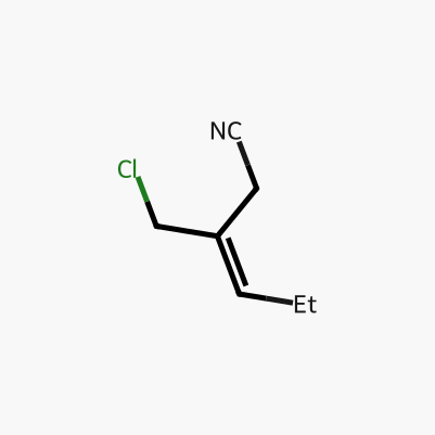 CCC=C(CCl)CC#N